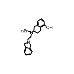 CCCN(CCN1Cc2ccccc2C1)C1CCc2c(O)cccc2C1